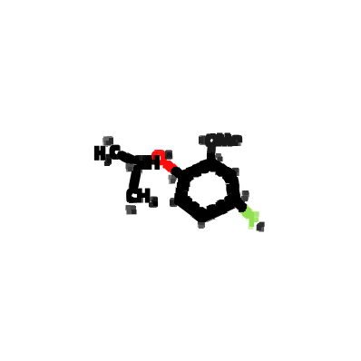 COc1cc(F)ccc1O[SiH](C)C